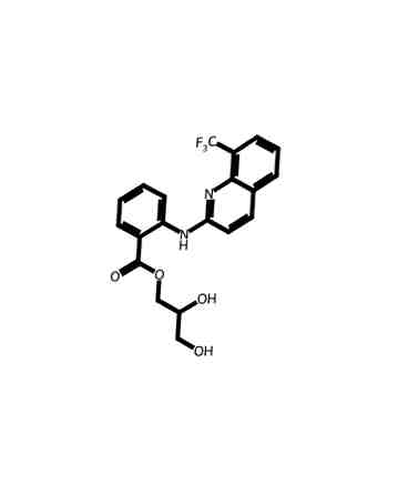 O=C(OCC(O)CO)c1ccccc1Nc1ccc2cccc(C(F)(F)F)c2n1